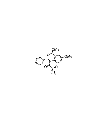 C=C1Oc2cc(OC)cc(C(=O)OC)c2N(Cc2ccccc2)C1=O